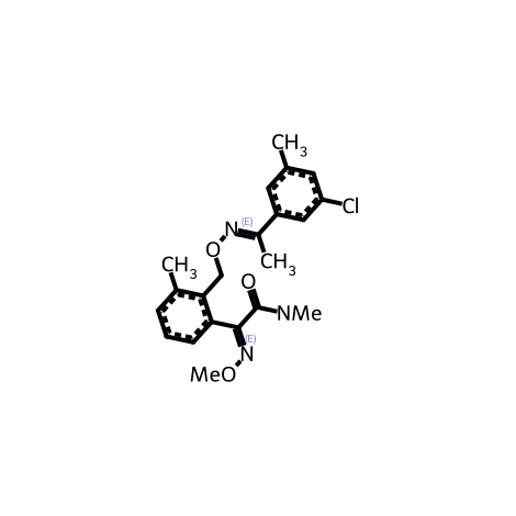 CNC(=O)/C(=N/OC)c1cccc(C)c1CO/N=C(\C)c1cc(C)cc(Cl)c1